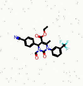 CCOC(=O)C1=C(C)N(c2cccc(C(F)(F)F)c2)C(=O)N(C=O)C1c1ccc(C#N)cc1